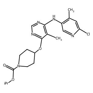 Cc1cc(Cl)ncc1Nc1ncnc(OC2CCN(C(=O)OC(C)C)CC2)c1C